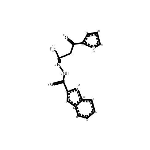 O=C(CC(=NNC(=O)c1cc2ccccc2s1)C(F)(F)F)c1cccs1